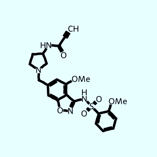 C#CC(=O)NC1CCN(Cc2cc(OC)c3c(NS(=O)(=O)c4ccccc4OC)noc3c2)C1